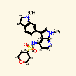 CC(C)n1cc(-c2ccc3c(c2)N(C)CC3)c2c(NS(=O)(=O)C3CCOCC3)ccnc21